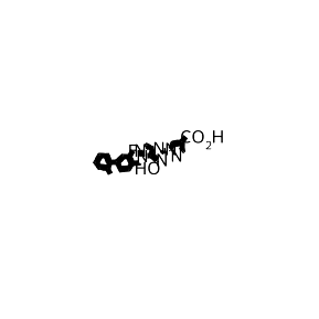 Cc1ccccc1-c1ccc(Cn2ncc3nc(-n4cc(C(=O)O)cn4)nc(O)c32)c(F)c1